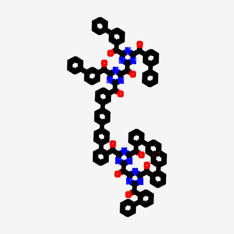 O=C(c1cccc(-c2ccccc2)c1)c1nc(C(=O)c2cccc(-c3ccccc3)c2)nc(C(=O)c2nc(C(=O)c3cccc(-c4ccccc4)c3)nc(C(=O)c3cccc(-c4ccc(-c5ccc(-c6ccccc6C(=O)c6nc(C(=O)c7nc(C(=O)c8ccccc8-c8ccccc8)nc(C(=O)c8ccccc8-c8ccccc8)n7)nc(C(=O)c7ccccc7-c7ccccc7)n6)cc5)cc4)c3)n2)n1